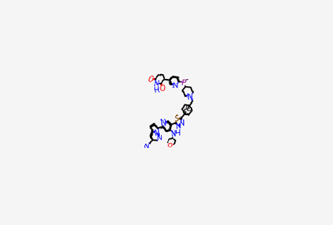 CP(c1ccc(C2CCC(=O)NC2=O)cn1)C1CCN(CC23CCC(c4nnc(-c5cnc(-c6ccc7cc(C#N)cnn67)cc5NC5CCOCC5)s4)(CC2)CC3)CC1